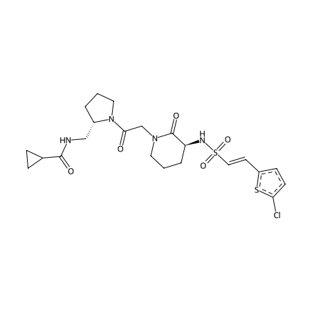 O=C(NC[C@@H]1CCCN1C(=O)CN1CCC[C@H](NS(=O)(=O)/C=C/c2ccc(Cl)s2)C1=O)C1CC1